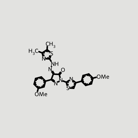 COc1ccc(-c2csc(N3N=C(c4cccc(OC)c4)C(=NNc4nc(C)c(C)s4)C3=O)n2)cc1